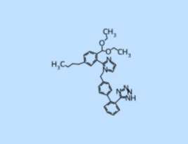 CCCCc1ccc(C(OCC)OCC)c(-c2nccn2Cc2ccc(-c3ccccc3-c3nnn[nH]3)cc2)c1